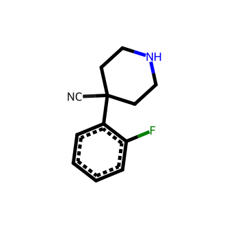 N#CC1(c2ccccc2F)CCNCC1